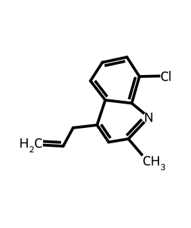 C=CCc1cc(C)nc2c(Cl)cccc12